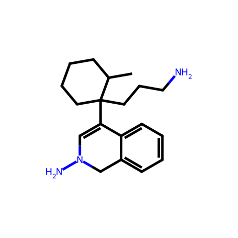 CC1CCCCC1(CCCN)C1=CN(N)Cc2ccccc21